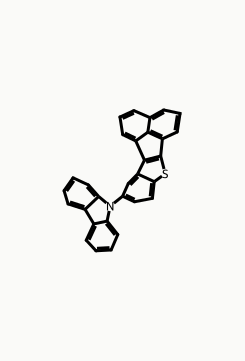 c1cc2c3c(cccc3c1)-c1c-2sc2ccc(-n3c4ccccc4c4ccccc43)cc12